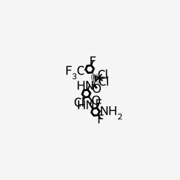 Nc1c(F)ccc(NC(=O)c2cc(NC(=O)[C@H]3[C@H](c4cc(F)cc(C(F)(F)F)c4)C3(Cl)Cl)ccc2Cl)c1F